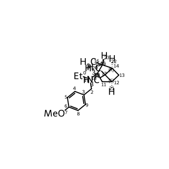 CCN(Cc1ccc(OC)cc1)[C@@H]1C[C@@H]2C[C@H]([C@H]1C)C2(C)C